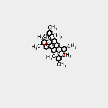 Cc1cc(C)c(B2c3c(C)cc(C)cc3-c3cc4ccc(N(c5c(C)cc(C)cc5C)c5c(C)cc(C)cc5C)c5c6ccccc6c6ccc2c3c6c45)c(C)c1